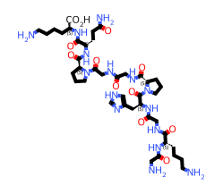 NCCCC[C@H](NC(=O)[C@H](CCC(N)=O)NC(=O)[C@@H]1CCCN1C(=O)CNC(=O)CNC(=O)[C@@H]1CCCN1C(=O)[C@H](Cc1c[nH]cn1)NC(=O)CNC(=O)[C@H](CCCCN)NC(=O)CN)C(=O)O